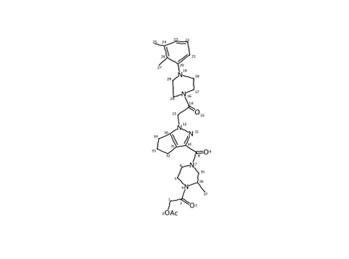 CC(=O)OCC(=O)N1CCN(C(=O)c2nn(CC(=O)N3CCN(c4cccc(C)c4C)CC3)c3c2CCC3)CC1C